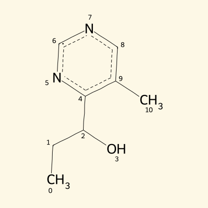 CCC(O)c1n[c]ncc1C